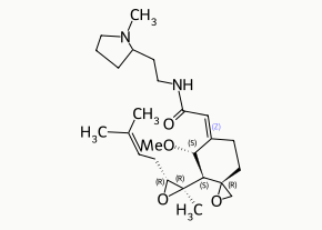 CO[C@@H]1/C(=C\C(=O)NCCC2CCCN2C)CC[C@]2(CO2)[C@H]1[C@@]1(C)O[C@@H]1CC=C(C)C